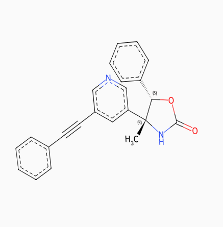 C[C@]1(c2cncc(C#Cc3ccccc3)c2)NC(=O)O[C@H]1c1ccccc1